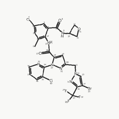 Cc1cc(Cl)cc(C(=O)NC2COC2)c1NC(=O)c1cc(Cn2cc(Br)c(C(F)(F)F)n2)nn1-c1ncccc1Cl